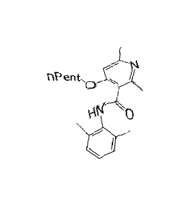 CCCCCOc1cc(C)nc(C)c1C(=O)Nc1c(C)cccc1C